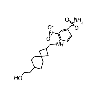 NS(=O)(=O)c1ccc(NCC2CC3(CCC(CCO)CC3)C2)c([N+](=O)[O-])c1